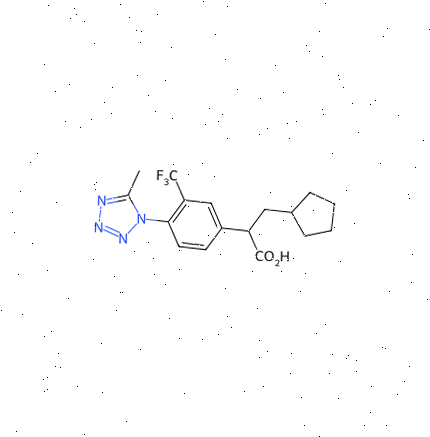 Cc1nnnn1-c1ccc(C(CC2CCCC2)C(=O)O)cc1C(F)(F)F